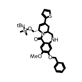 COc1cc2c(cc1OCc1ccccc1)NCC1CC(c3cccs3)=C[C@@H](CO[Si](C)(C)C(C)(C)C)N1C2=O